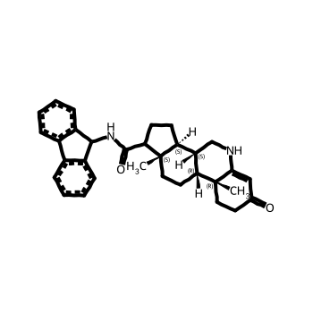 C[C@]12CCC(=O)C=C1NC[C@@H]1[C@H]2CC[C@]2(C)C(C(=O)NC3c4ccccc4-c4ccccc43)CC[C@@H]12